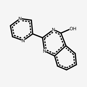 Oc1nc(-c2cnccn2)nc2ccccc12